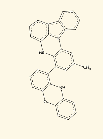 Cc1cc(-c2cccc3c2Nc2ccccc2O3)c2c(c1)-n1c3ccccc3c3cccc(c31)B2